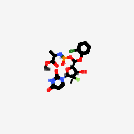 CCCCOC(=O)C(C)/N=[P+](\[O-])OC(Oc1ccccc1Cl)[C@@H]1O[C@@H](n2ccc(=O)[nH]c2=O)[C@](C)(F)[C@@H]1O